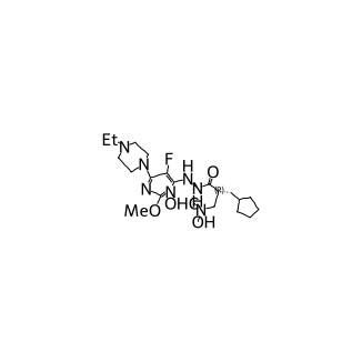 CCN1CCN(c2nc(OC)nc(NNC(=O)[C@H](CC3CCCC3)CN(O)C=O)c2F)CC1